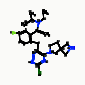 C=C(c1cc(F)ccc1Cc1nnc(Cl)nc1N1CCC2(CNC2)C1)N(CC)C(C)C